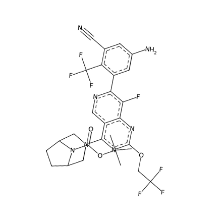 CC(C)(C)OC(=O)N1C2CCC1CN(c1nc(OCC(F)(F)F)nc3c(F)c(-c4cc(N)cc(C#N)c4C(F)(F)F)ncc13)C2